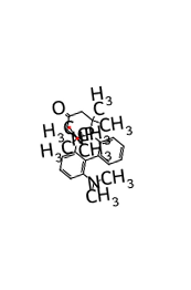 CN(C)c1cccc(N(C)C)c1-c1ccccc1P1C(C)(C)CC(=O)CC1(C)C